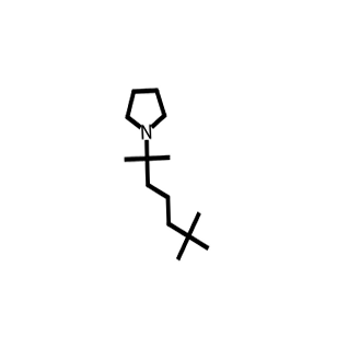 CC(C)(C)CCCC(C)(C)N1CCCC1